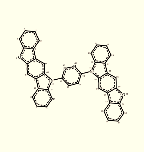 c1ccc2c(c1)oc1cc3c4ccccc4n(-c4ccc(-n5c6ccccc6c6cc7oc8ccccc8c7cc65)nn4)c3cc12